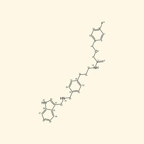 C=C(COCc1ccc(F)cc1)NCCCc1ccc(CNCc2c[nH]c3ccccc23)cc1